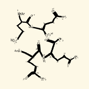 CC(=O)NC(CCC(=O)O)C(=O)NC(CCC(N)=O)C(=O)O.CC(=O)NC(CCC(N)=O)C(=O)NC(CCC(N)=O)C(N)=O